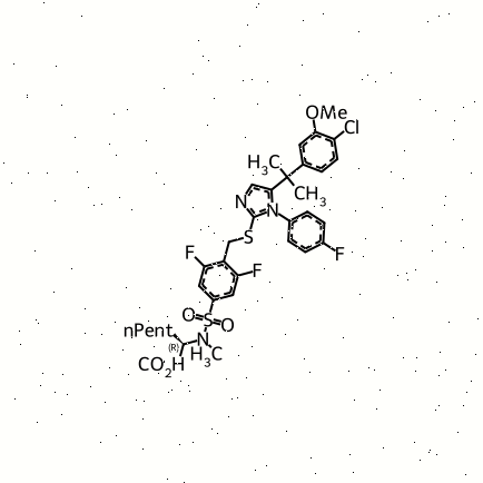 CCCCC[C@H](C(=O)O)N(C)S(=O)(=O)c1cc(F)c(CSc2ncc(C(C)(C)c3ccc(Cl)c(OC)c3)n2-c2ccc(F)cc2)c(F)c1